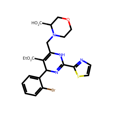 CCOC(=O)C1=C(CN2CCOCC2C(=O)O)NC(c2nccs2)=NC1c1ccccc1Br